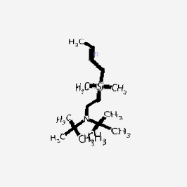 C/C=C/C[Si](C)(C)CCN(C(C)(C)C)C(C)(C)C